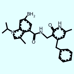 Bc1cc(C(=O)NCc2c(Cc3ccccc3)cc(C)[nH]c2=O)c2c(C)cn(C(C)C)c2c1